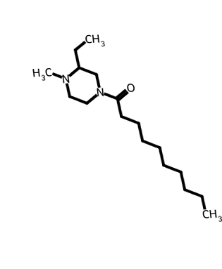 CCCCCCCCCC(=O)N1CCN(C)C(CC)C1